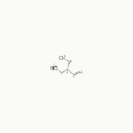 C=CC(CO)CCl